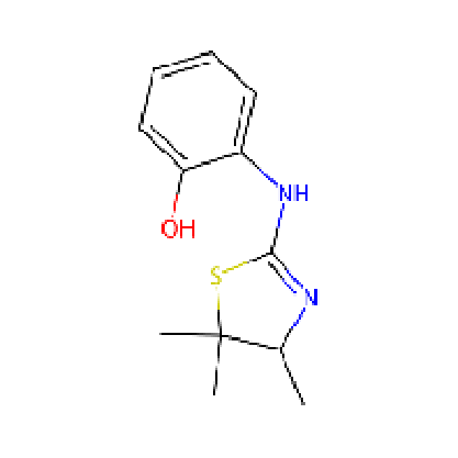 CC1N=C(Nc2ccccc2O)SC1(C)C